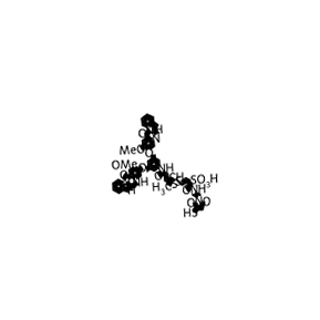 COc1cc2c(cc1OCc1cc(COc3cc4c(cc3OC)C(=O)N3c5ccccc5C[C@H]3CN4)cc(NC(=O)CCC(C)(C)SSCCC(C(=O)NCCN3C(=O)CC(S)C3=O)S(=O)(=O)O)c1)N=C[C@@H]1Cc3ccccc3N1C2=O